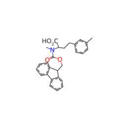 Cc1cccc(CCC(C(=O)O)N(C)C(=O)OCC2c3ccccc3-c3ccccc32)c1